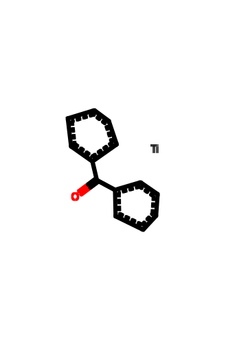 O=C(c1ccccc1)c1ccccc1.[Ti]